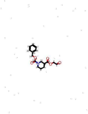 O=CCOC(=O)C1CCCN(C(=O)OCc2ccccc2)C1